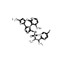 COc1cc[nH]c(=O)c1-n1c(NS(=O)(=O)C(C)C(C)c2ncc(F)cn2)nnc1-c1ccc(C)o1